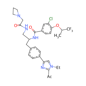 CCn1cc(-c2ccc(CC(CNC(=O)CN3CCC3)NC(=O)c3ccc(OC(C)C(F)(F)F)c(Cl)c3)cc2)nc1C(C)=O